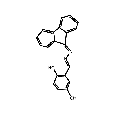 Oc1ccc(O)c(C=NN=C2c3ccccc3-c3ccccc32)c1